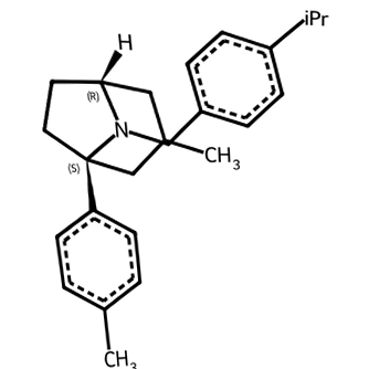 Cc1ccc([C@]23CC[C@H](CC(C)C2)N3Cc2ccc(C(C)C)cc2)cc1